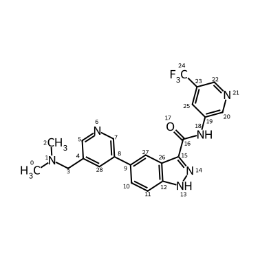 CN(C)Cc1cncc(-c2ccc3[nH]nc(C(=O)Nc4cncc(C(F)(F)F)c4)c3c2)c1